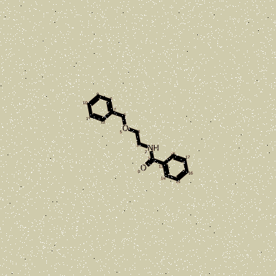 O=C(NCCOCc1ccccc1)c1ccccc1